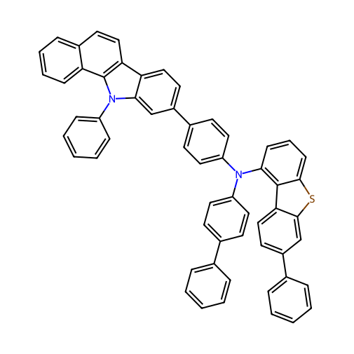 c1ccc(-c2ccc(N(c3ccc(-c4ccc5c6ccc7ccccc7c6n(-c6ccccc6)c5c4)cc3)c3cccc4sc5cc(-c6ccccc6)ccc5c34)cc2)cc1